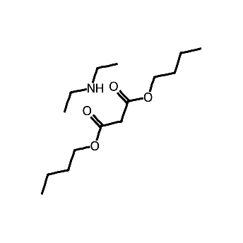 CCCCOC(=O)CC(=O)OCCCC.CCNCC